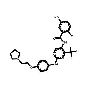 O=C(Nc1cnc(Nc2ccc(OCCN3CCCC3)cc2)nc1C(F)(F)F)c1cc(O)ccc1Cl